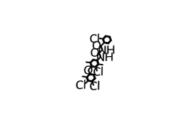 Cc1cc(NC(=O)NC(=O)c2ccccc2Cl)c(C)c(Cl)c1Oc1ccc(Cl)c(Cl)c1C